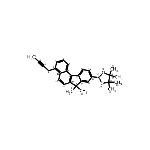 CC#CCc1cccc2c3c(ccc12)C(C)(C)c1cc(B2OC(C)(C)C(C)(C)O2)ccc1-3